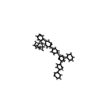 c1ccc(-c2ccc(-c3nc(-c4ccccc4)nc(-c4ccc(-c5cc6c(cn5)-c5cnccc5C65C6CC7CC(C6)CC5C7)cc4)n3)cc2)cc1